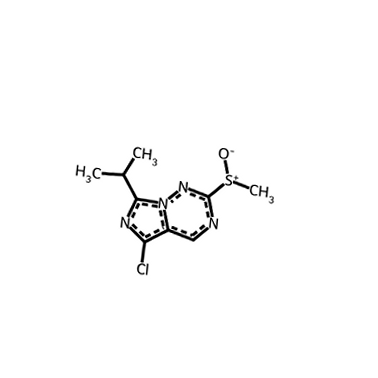 CC(C)c1nc(Cl)c2cnc([S+](C)[O-])nn12